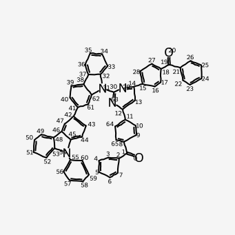 O=C(c1ccccc1)c1ccc(-c2cc(-c3ccc(C(=O)c4ccccc4)cc3)nc(-n3c4ccccc4c4ccc(-c5ccc6c(c5)c5ccccc5n6-c5ccccc5)cc43)n2)cc1